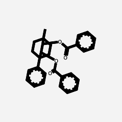 CC12CCC(c3ccccc3)(CC1)C(OC(=O)c1ccccc1)C2OC(=O)c1ccccc1